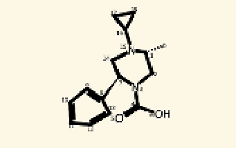 C[C@@H]1CN(C(=O)O)[C@@H](c2ccccc2)CN1C1CC1